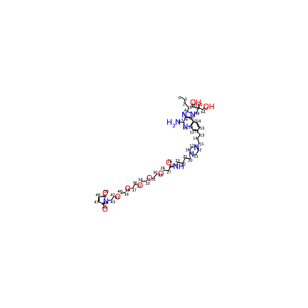 CCCCc1nc2c(N)nc3cc(CCCN4CCN(CCCCNC(=O)CCOCCOCCOCCOCCOCCN5C(=O)C=CC5=O)CC4)ccc3c2n1CC(C)(CO)CO